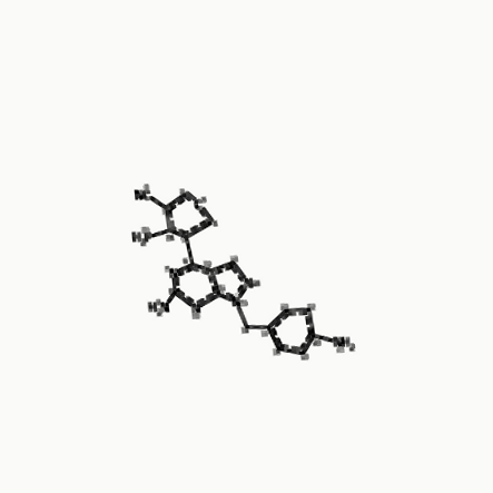 N#Cc1cccc(-c2nc(N)nc3c2cnn3Cc2ccc(N)cc2)c1P